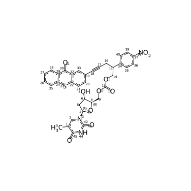 Cc1cn([C@H]2CC(O)[C@@H](COC(=O)OCC(CC#Cc3ccc4sc5ccccc5c(=O)c4c3)c3ccc([N+](=O)[O-])cc3)O2)c(=O)[nH]c1=O